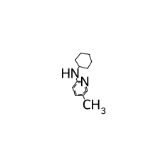 Cc1ccc(NC2CCCCC2)nc1